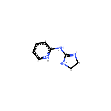 c1ccc(NC2=NCCN2)nc1